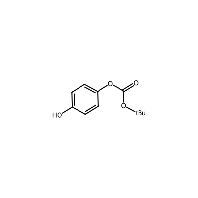 CC(C)(C)OC(=O)Oc1ccc(O)cc1